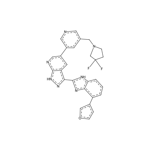 FC1(F)CCN(Cc2cncc(-c3cnc4[nH]nc(-c5nc6c(-c7ccoc7)cccc6[nH]5)c4c3)c2)C1